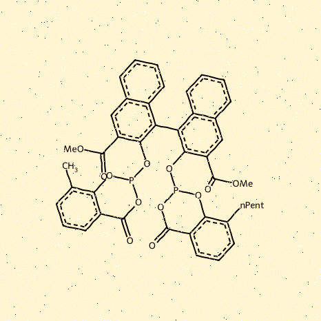 CCCCCc1cccc2c1OP(Oc1c(C(=O)OC)cc3ccccc3c1-c1c(OP3OC(=O)c4cccc(C)c4O3)c(C(=O)OC)cc3ccccc13)OC2=O